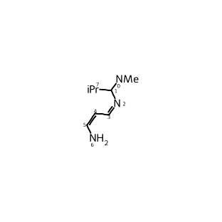 CNC(/N=C\C=C/N)C(C)C